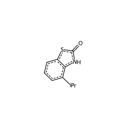 CC(C)c1cccc2sc(=O)[nH]c12